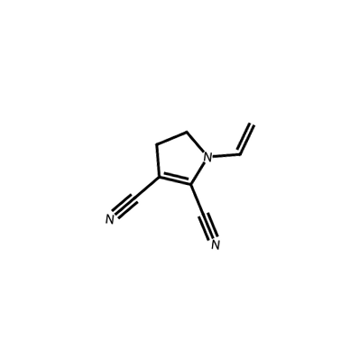 C=CN1CCC(C#N)=C1C#N